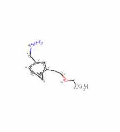 NCc1[c]c(COCC(=O)O)ccc1